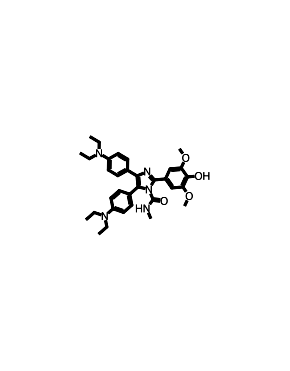 CCN(CC)c1ccc(-c2nc(-c3cc(OC)c(O)c(OC)c3)n(C(=O)NC)c2-c2ccc(N(CC)CC)cc2)cc1